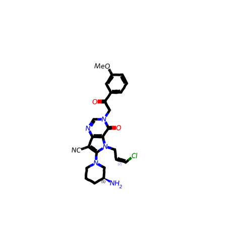 COc1cccc(C(=O)Cn2cnc3c(C#N)c(N4CCC[C@H](N)C4)n(C/C=C\Cl)c3c2=O)c1